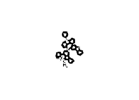 CC1(C)c2ccccc2-c2cc(N(c3ccc4sc5ccccc5c4c3)c3cccc4c3c3ccccc3n4-c3ccccc3)cc(-c3ccccc3)c21